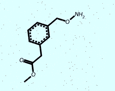 COC(=O)Cc1cccc(CON)c1